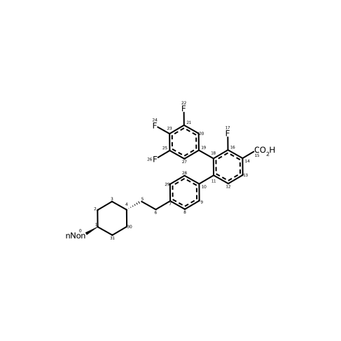 CCCCCCCCC[C@H]1CC[C@H](CCc2ccc(-c3ccc(C(=O)O)c(F)c3-c3cc(F)c(F)c(F)c3)cc2)CC1